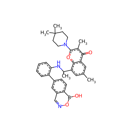 Cc1cc([C@@H](C)Nc2ccccc2-c2ccc3c(c2)C=NOB3O)c2oc(N3CCC(C)(C)CC3)c(C)c(=O)c2c1